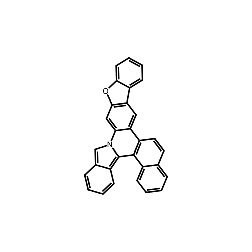 c1ccc2c(c1)ccc1c3cc4c(cc3n3cc5ccccc5c3c21)oc1ccccc14